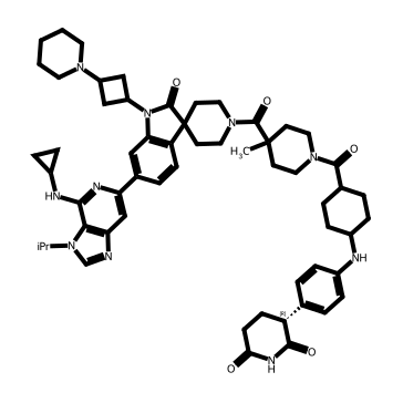 CC(C)n1cnc2cc(-c3ccc4c(c3)N(C3CC(N5CCCCC5)C3)C(=O)C43CCN(C(=O)C4(C)CCN(C(=O)C5CCC(Nc6ccc([C@H]7CCC(=O)NC7=O)cc6)CC5)CC4)CC3)nc(NC3CC3)c21